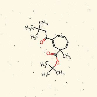 CC(C)(C)CC(=O)C1=CC(C)(C(=O)OC(C)(C)C)C=CC=C1